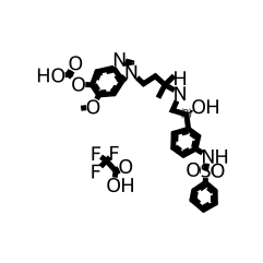 COc1cc2c(cc1OC(=O)O)ncn2CCC(C)(C)NC[C@H](O)c1cccc(NS(=O)(=O)c2ccccc2)c1.O=C(O)C(F)(F)F